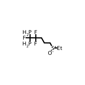 CC[S+]([O-])CCCC(F)(F)C(F)(P)P